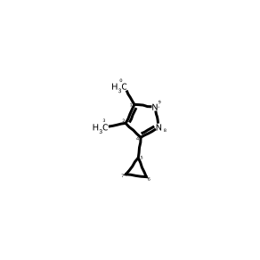 CC1=C(C)C(C2CC2)=N[N]1